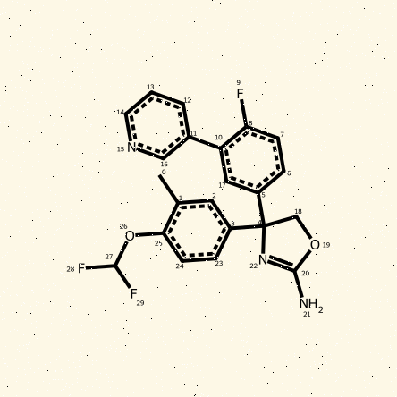 Cc1cc(C2(c3ccc(F)c(-c4cccnc4)c3)COC(N)=N2)ccc1OC(F)F